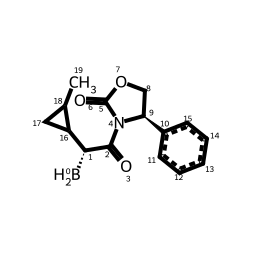 B[C@@H](C(=O)N1C(=O)OC[C@H]1c1ccccc1)C1CC1C